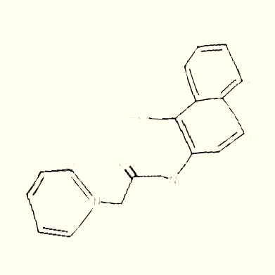 O=C(C[n+]1ccccc1)Nc1ccc2ccccc2c1O